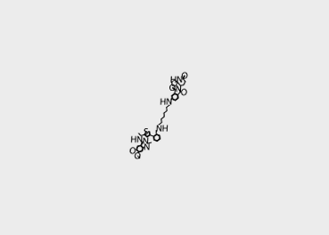 COc1cc2nc(C)nc(NC(C)c3cc(-c4ccccc4CNCCCCCCCCNc4ccc5c(c4)C(=O)N(C4CCC(=O)NC4=O)C5=O)cs3)c2cc1OC